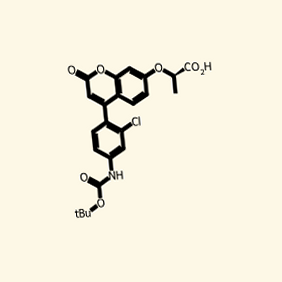 C[C@@H](Oc1ccc2c(-c3ccc(NC(=O)OC(C)(C)C)cc3Cl)cc(=O)oc2c1)C(=O)O